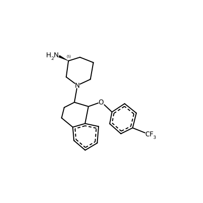 N[C@H]1CCCN(C2CCc3ccccc3C2Oc2ccc(C(F)(F)F)cc2)C1